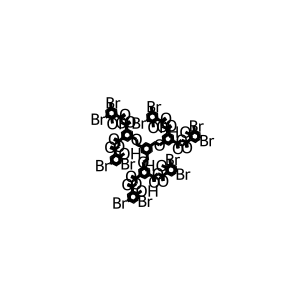 O=C(OC(=O)c1cc(Br)cc(Br)c1O)c1cc(OCc2cc(COc3cc(C(=O)OC(=O)c4cc(Br)cc(Br)c4O)cc(C(=O)OC(=O)c4cc(Br)cc(Br)c4O)c3)cc(COc3cc(C(=O)OC(=O)c4cc(Br)cc(Br)c4O)cc(C(=O)OC(=O)c4cc(Br)cc(Br)c4O)c3)c2)cc(C(=O)OC(=O)c2cc(Br)cc(Br)c2O)c1